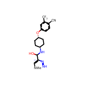 CN/C=C(\N=N)C(O)N[C@H]1CC[C@H](Oc2ccc(C#N)c(C(F)(F)F)c2)CC1